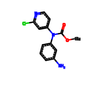 CC(C)(C)OC(=O)N(c1cccc(N)c1)c1ccnc(Cl)c1